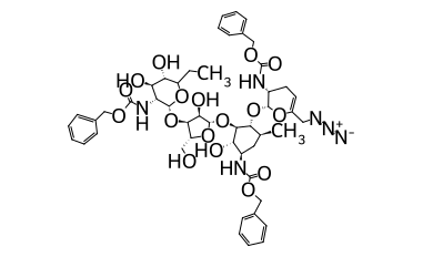 CCC1O[C@H](O[C@H]2[C@@H](O)[C@H](O[C@@H]3[C@@H](O)[C@H](NC(=O)OCc4ccccc4)C[C@H](C)[C@H]3O[C@H]3OC(CN=[N+]=[N-])=CC[C@H]3NC(=O)OCc3ccccc3)O[C@@H]2CO)[C@H](NC(=O)OCc2ccccc2)[C@@H](O)[C@@H]1O